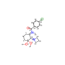 COC1(OC)CCCC(N(C)C(=O)c2ccc(Cl)cc2)C1N1CCC1